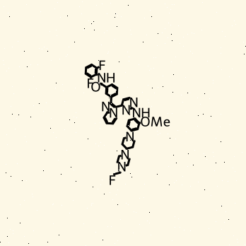 COc1cc(N2CCC(N3CCN(CCF)CC3)CC2)ccc1Nc1nccc(-c2c(-c3cccc(C(=O)Nc4c(F)cccc4F)c3)nc3ccccn23)n1